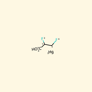 O=C(O)C(F)CF.[Hg]